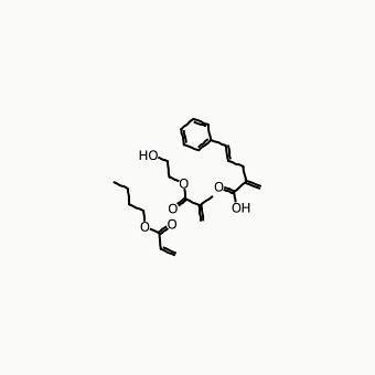 C=C(C)C(=O)OCCO.C=C(CC=Cc1ccccc1)C(=O)O.C=CC(=O)OCCCC